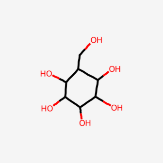 OCC1C(O)C(O)C(O)C(O)C1O